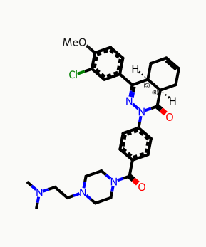 COc1ccc(C2=NN(c3ccc(C(=O)N4CCN(CCN(C)C)CC4)cc3)C(=O)[C@@H]3CC=CC[C@H]23)cc1Cl